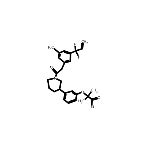 C=CC(F)(F)c1cc(CC(=O)N2CCCC(c3cccc(OC(C)(C)C(=O)CC)c3)C2)cc(C(F)(F)F)c1